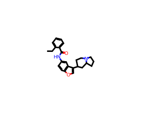 CCc1ccccc1C(=O)Nc1ccc2occ(C3CCN4CCCC4C3)c2c1